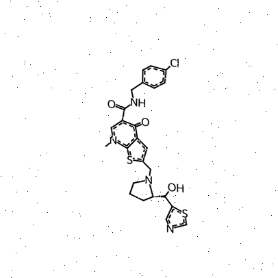 Cn1cc(C(=O)NCc2ccc(Cl)cc2)c(=O)c2cc(CN3CCC[C@@H]3C(O)c3cncs3)sc21